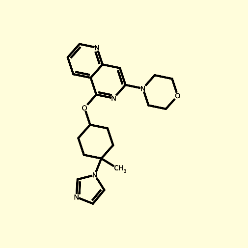 CC1(n2ccnc2)CCC(Oc2nc(N3CCOCC3)cc3ncccc23)CC1